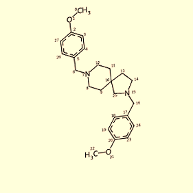 COc1ccc(CN2CCC3(CC2)CCN(Cc2ccc(OC)cc2)C3)cc1